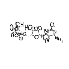 Nc1nc(Cl)nc2c1ncn2[C@@H]1O[C@H](COP(=O)(O)CP(=O)(O)O)[C@@H](O)[C@H]1O